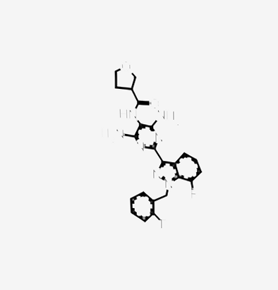 Nc1nc(-c2nn(Cc3ccccc3F)c3c(F)cccc23)nc(N)c1NC(=O)C1CCOC1